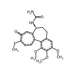 COc1cc2c(c(OC)c1OC)-c1ccc(SC)c(=O)cc1[C@@H](NC(N)=O)CC2